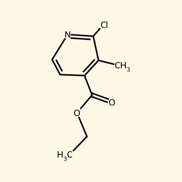 CCOC(=O)c1ccnc(Cl)c1C